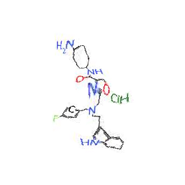 Cl.NC1CCC(NC(=O)c2coc(CN(CCc3c[nH]c4ccccc34)Cc3ccc(F)cc3)n2)CC1